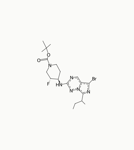 CCC(C)c1nc(Br)c2cnc(N[C@@H]3CCN(C(=O)OC(C)(C)C)C[C@H]3F)nn12